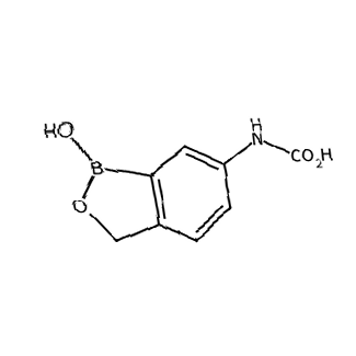 O=C(O)Nc1ccc2c(c1)B(O)OC2